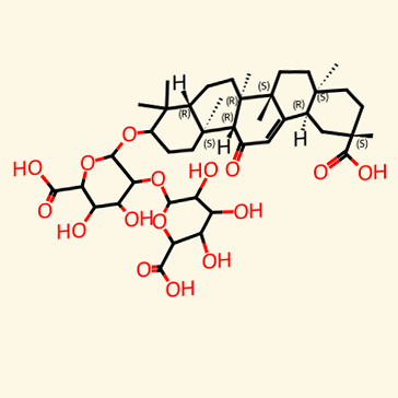 CC1(C)C(OC2OC(C(=O)O)C(O)C(O)C2OC2OC(C(=O)O)C(O)C(O)C2O)CC[C@]2(C)[C@H]3C(=O)C=C4[C@@H]5C[C@@](C)(C(=O)O)CC[C@]5(C)CC[C@@]4(C)[C@]3(C)CC[C@@H]12